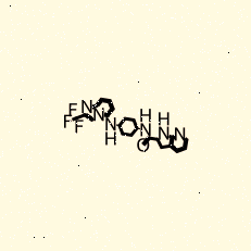 O=C(N[C@H]1CC[C@@H](Nc2cccc3nc(C(F)(F)F)cn23)CC1)C1Cc2cccnc2N1